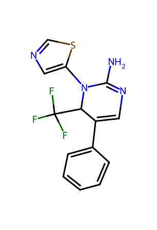 NC1=NC=C(c2ccccc2)C(C(F)(F)F)N1c1cncs1